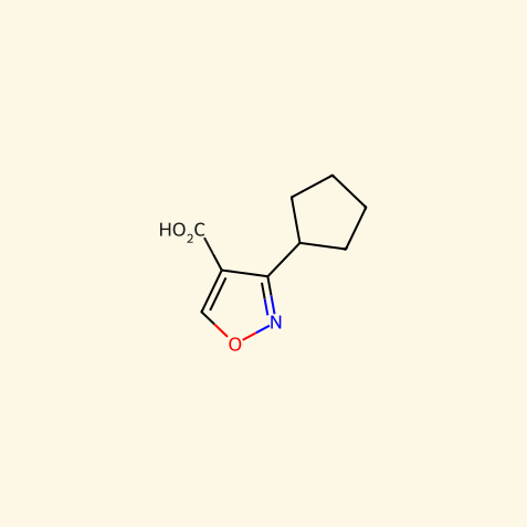 O=C(O)c1conc1C1CCCC1